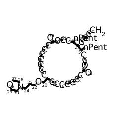 C=C=C=C=C1C(CCCCC)CCOC(=O)CCCCCCCC(COCCCN2CCOCC2)CCCCCCCC(=O)OCCC1CCCCC